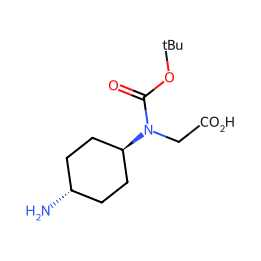 CC(C)(C)OC(=O)N(CC(=O)O)[C@H]1CC[C@H](N)CC1